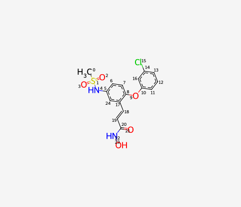 CS(=O)(=O)Nc1ccc(Oc2cccc(Cl)c2)c(C=CC(=O)NO)c1